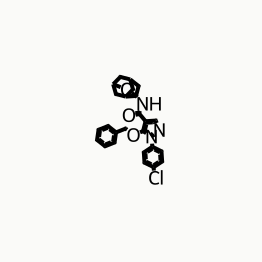 O=C(NC12CC3CC(CC1C3)C2)c1cnn(-c2ccc(Cl)cc2)c1OCc1ccccc1